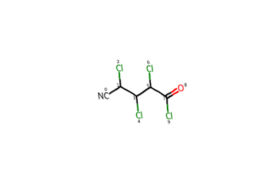 N#CC(Cl)C(Cl)C(Cl)C(=O)Cl